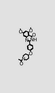 COc1cc(OC)c2c(=O)[nH]c(-c3ccc(OC4CCN(C(C)=O)CC4)cc3)nc2c1